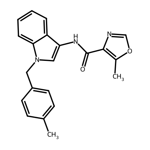 Cc1ccc(Cn2cc(NC(=O)c3ncoc3C)c3ccccc32)cc1